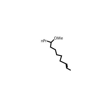 C/C=C/CCCCCC(CCC)OC